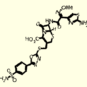 CON=C(C(=O)N[C@@H]1C(=O)N2C(C(=O)O)=C(CSc3nnc(-c4ccc(S(N)(=O)=O)cc4)o3)CS[C@@H]12)c1csc(N)n1